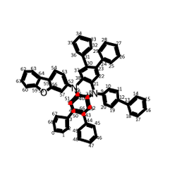 c1ccc(-c2ccc(N(c3ccc(-c4ccccc4)cc3)c3cc(-c4ccccc4)c(-c4ccccc4)cc3N(c3ccc(-c4ccccc4)cc3)c3ccc4c(c3)oc3ccccc34)cc2)cc1